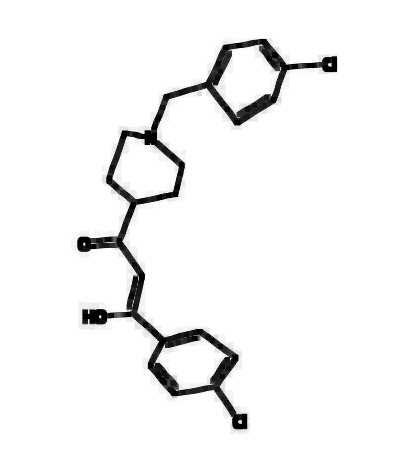 O=C(/C=C(\O)c1ccc(Cl)cc1)C1CCN(Cc2ccc(Cl)cc2)CC1